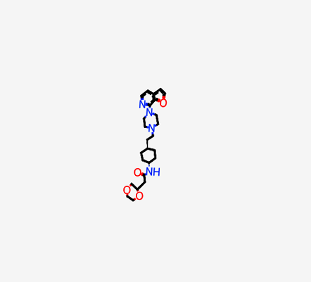 O=C(CC1COCCO1)N[C@H]1CC[C@H](CCN2CCN(c3nccc4ccoc34)CC2)CC1